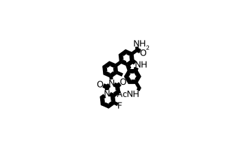 CC(=O)NCc1ccc2c(c1)[nH]c1c(C(N)=O)ccc(-c3cccc(-n4c(=O)cc5c(F)cccn5c4=O)c3C)c12